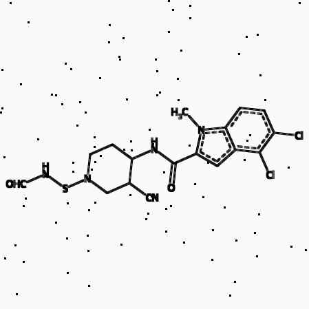 Cn1c(C(=O)NC2CCN(SNC=O)CC2C#N)cc2c(Cl)c(Cl)ccc21